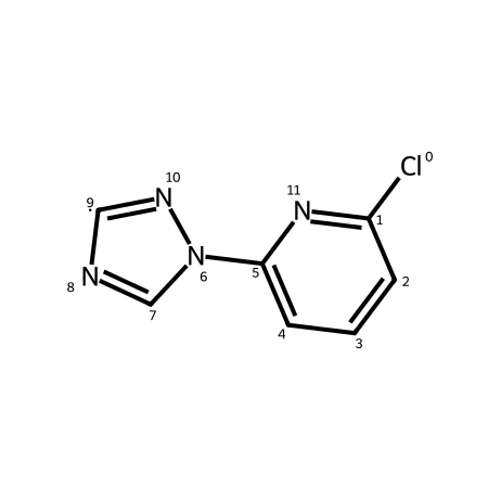 Clc1cccc(-n2cn[c]n2)n1